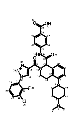 CN(C)C1CCN(c2cccc3c2CCN(C(=O)c2cn(-c4cccc(Cl)c4F)nn2)C3C(=O)Nc2ccc(C(=O)O)cc2)CC1